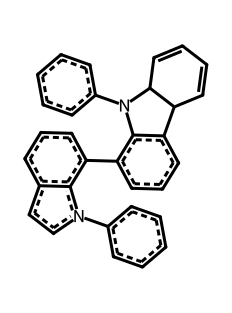 C1=CC2c3cccc(-c4cccc5ccn(-c6ccccc6)c45)c3N(c3ccccc3)C2C=C1